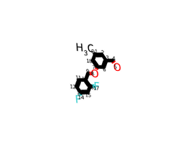 Cc1cc(C=O)cc(OCc2ccc(F)cc2F)c1